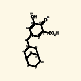 O=C(O)c1cn(CC2CC3CCCC(C3)C2)cc(O)c1=O